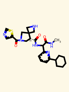 CNC(=O)C(NC(=O)[C@@H]1CN(C(=O)c2cncs2)CC12CNC2)c1cccc(C2CCCCC2)n1